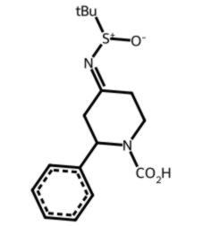 CC(C)(C)[S+]([O-])/N=C1\CCN(C(=O)O)C(c2ccccc2)C1